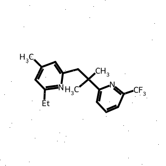 CCc1cc(C)cc(CC(C)(C)c2cccc(C(F)(F)F)n2)n1